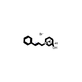 O[C@H]1C[N+]2(C/C=C/c3ccccc3)CCC1CC2.[Br-]